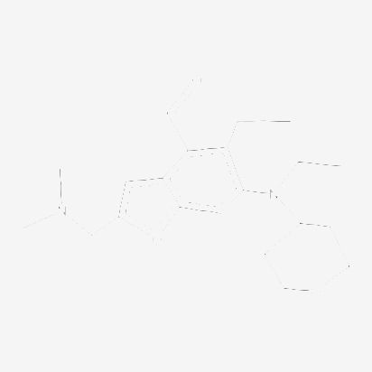 CCc1c(N(CC)C2CCOCC2)cc2oc(CN(C)C)cc2c1C=O